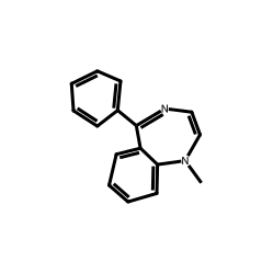 CN1C=CN=C(c2ccccc2)c2ccccc21